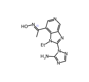 CCn1c(-n2ncnc2N)nc2cncc(/C(C)=N/O)c21